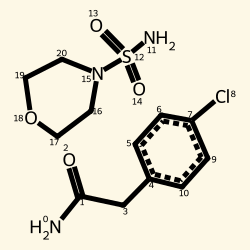 NC(=O)Cc1ccc(Cl)cc1.NS(=O)(=O)N1CCOCC1